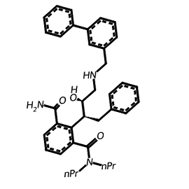 CCCN(CCC)C(=O)c1cccc(C(N)=O)c1[C@H](Cc1ccccc1)[C@@H](O)CNCc1cccc(-c2ccccc2)c1